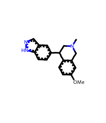 COc1ccc2c(c1)CN(C)CC2c1ccc2[nH]ncc2c1